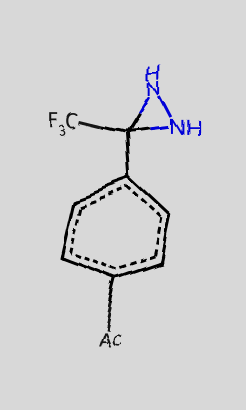 CC(=O)c1ccc(C2(C(F)(F)F)NN2)cc1